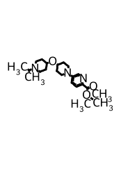 CC(C)N1CCC(OC2CCN(c3ccc(C(=O)OC(C)(C)C)nc3)CC2)CC1